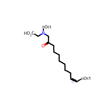 CCCCCCCC/C=C\CCCCCCCC(=O)CN(CCCCCCCC)CC(=O)O